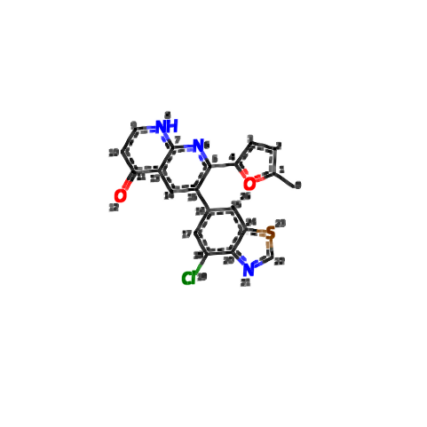 Cc1ccc(-c2nc3[nH]ccc(=O)c3cc2-c2cc(Cl)c3ncsc3c2)o1